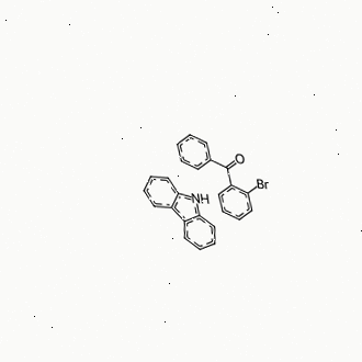 O=C(c1ccccc1)c1ccccc1Br.c1ccc2c(c1)[nH]c1ccccc12